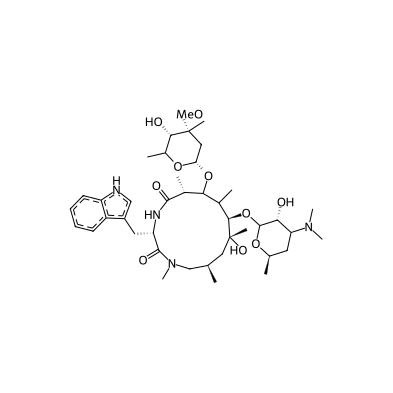 CO[C@]1(C)C[C@H](OC2C(C)[C@@H](OC3O[C@H](C)CC(N(C)C)[C@H]3O)[C@](C)(O)C[C@@H](C)CN(C)C(=O)[C@H](Cc3c[nH]c4ccccc34)NC(=O)[C@@H]2C)OC(C)[C@@H]1O